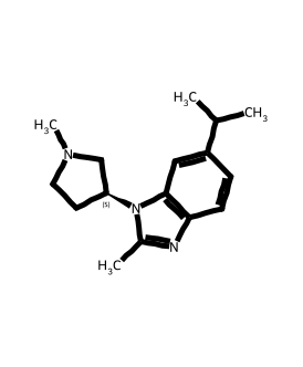 Cc1nc2ccc(C(C)C)cc2n1[C@H]1CCN(C)C1